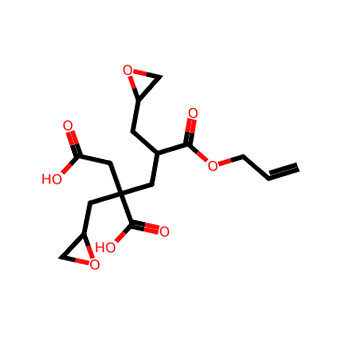 C=CCOC(=O)C(CC1CO1)CC(CC(=O)O)(CC1CO1)C(=O)O